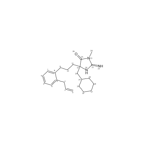 C=CCc1ccccc1CCCC1(CC2CCCCC2)NC(=N)N(C)C1=O